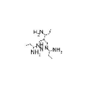 CCC(N)C1CN(C(N)CC)NN(C(N)CC)C1